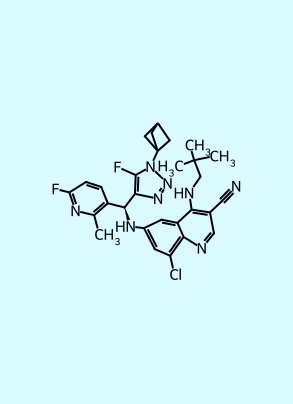 Cc1nc(F)ccc1[C@H](Nc1cc(Cl)c2ncc(C#N)c(NCC(C)(C)C)c2c1)c1nnn(C23CC(C2)C3)c1F